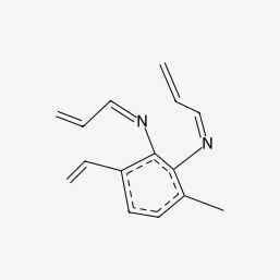 C=C/C=N\c1c(C)ccc(C=C)c1/N=C\C=C